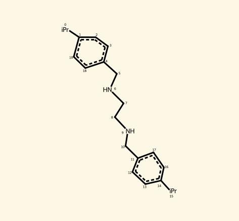 CC(C)c1ccc(CNCCNCc2ccc(C(C)C)cc2)cc1